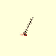 CCCCCCCCCCCCCCC=CCC(=O)O